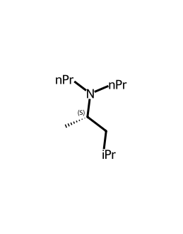 CCCN(CCC)[C@@H](C)CC(C)C